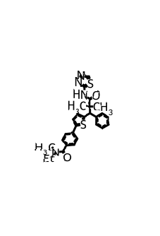 CCN(C)C(=O)c1ccc(-c2ccc(C(c3ccccc3)C(C)(C)C(=O)Nc3nncs3)s2)cc1